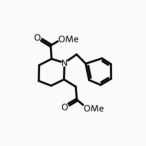 COC(=O)CC1CCCC(C(=O)OC)N1Cc1ccccc1